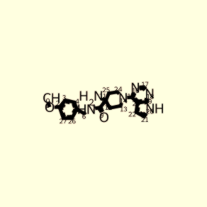 COc1ccc(CNC(=O)C2(N)CCN(c3ncnc4[nH]ccc34)CC2)cc1